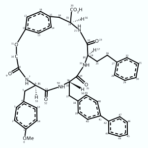 COc1ccc(C[C@H]2NC(=O)COc3ccc(cc3)C[C@@H](C(=O)O)NC(=O)[C@@H](CCc3ccccc3)NC(=O)[C@H](Cc3ccc(-c4ccccc4)cc3)NC2=O)cc1